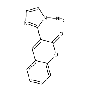 Nn1ccnc1-c1cc2ccccc2oc1=O